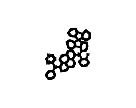 Fc1ccccc1N(c1cccc2c1-c1ccccc1C21c2ccccc2-c2ccccc21)c1ccc2ccc3c(N(c4ccccc4)c4ncncn4)ccc4ccc1c2c43